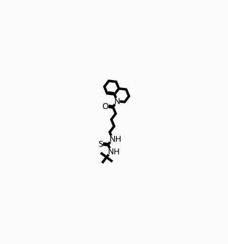 CC(C)(C)NC(=S)NCCCCC(=O)N1CCCC2CCCC=C21